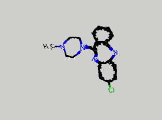 CN1CC[N+](=c2nc3cc(Cl)ccc3nc3ccccc23)CC1